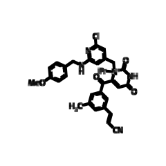 COc1ccc(CNc2cc(C[N+]3(C(C)C)C(=O)NC(=O)C=C3C(=O)c3cc(C)cc(C=CC#N)c3)cc(Cl)n2)cc1